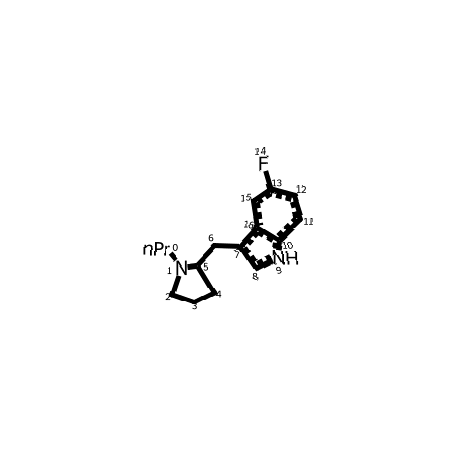 CCCN1CCCC1Cc1c[nH]c2ccc(F)cc12